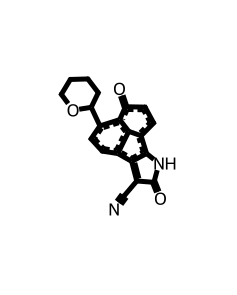 N#CC1=c2c(c3ccc(=O)c4c(C5CCCCO5)ccc2c4-3)NC1=O